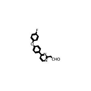 O=CCc1nccc(-c2ccc(Oc3ccc(F)cc3)cc2)n1